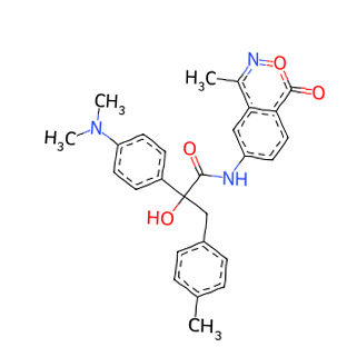 Cc1ccc(CC(O)(C(=O)Nc2ccc3c(=O)onc(C)c3c2)c2ccc(N(C)C)cc2)cc1